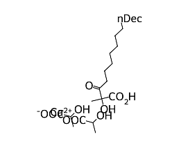 CC(O)C(=O)[O-].CC(O)C(=O)[O-].CCCCCCCCCCCCCCCCCC(=O)C(C)(O)C(=O)O.[Ca+2]